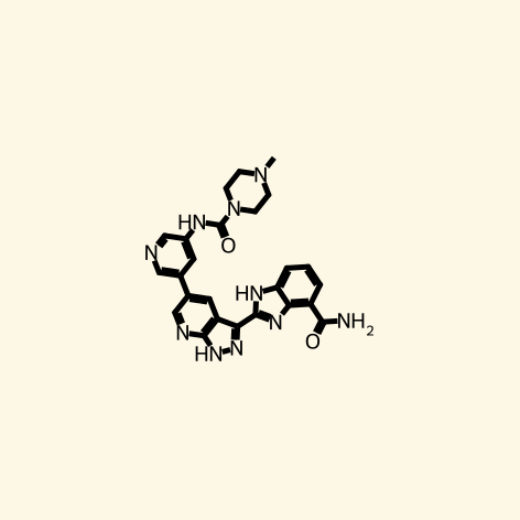 CN1CCN(C(=O)Nc2cncc(-c3cnc4[nH]nc(-c5nc6c(C(N)=O)cccc6[nH]5)c4c3)c2)CC1